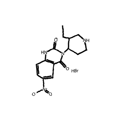 Br.CCC1CNCCC1n1c(=O)[nH]c2ccc([N+](=O)[O-])cc2c1=O